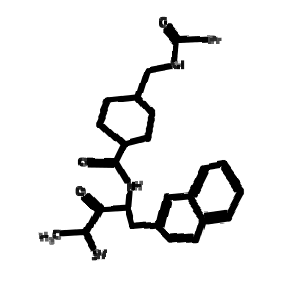 CC(C)C(=O)NCC1CCC(C(=O)NC(Cc2ccc3ccccc3c2)C(=O)C(C)S)CC1